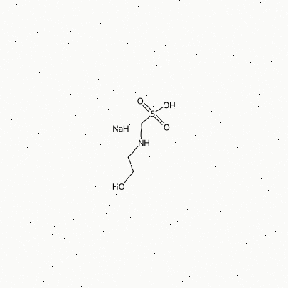 O=S(=O)(O)CNCCO.[NaH]